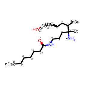 C=CCC(CCCC)C(N)(CC)CCCNC(=O)CCCCCCCCCCCCCCC.O=S(=O)(O)O